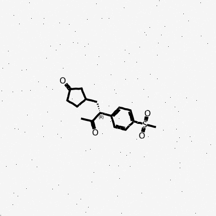 CC(=O)[C@H](CC1CCC(=O)C1)c1ccc(S(C)(=O)=O)cc1